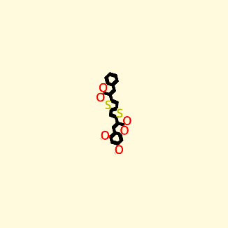 COc1cc(OC)c2cc(-c3cc4sc(-c5cc6ccccc6oc5=O)cc4s3)c(=O)oc2c1